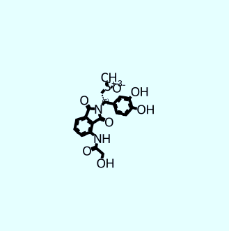 C[S+]([O-])C[C@H](c1ccc(O)c(O)c1)N1C(=O)c2cccc(NC(=O)CO)c2C1=O